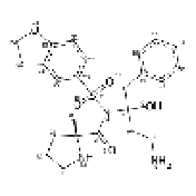 C[C@]1(C(=O)N(C(O)(CCN)Cc2ccccc2)S(=O)(=O)c2ccc3c(c2)CCO3)CCCN1